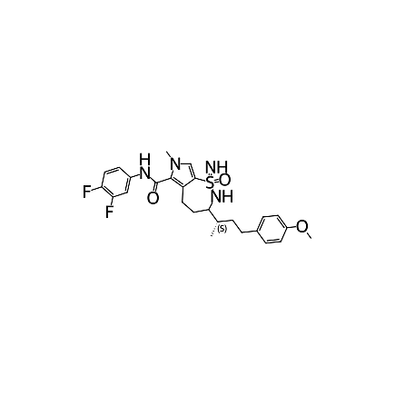 COc1ccc(CC[C@H](C)C2CCc3c(cn(C)c3C(=O)Nc3ccc(F)c(F)c3)S(=N)(=O)N2)cc1